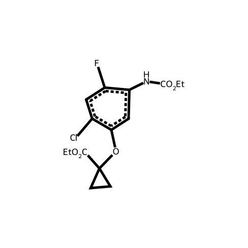 CCOC(=O)Nc1cc(OC2(C(=O)OCC)CC2)c(Cl)cc1F